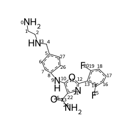 NCCNCc1ccc(Nc2oc(-c3c(F)cccc3F)nc2C(N)=O)cc1